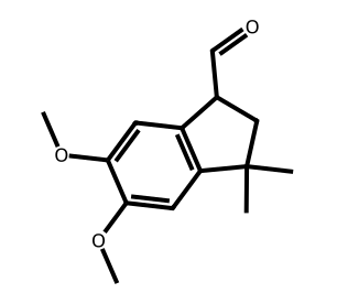 COc1cc2c(cc1OC)C(C)(C)CC2C=O